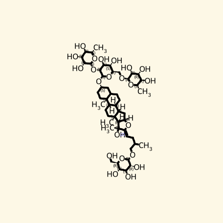 CC(C/C=C1\O[C@H]2C[C@H]3[C@@H]4CCC5C[C@@H](O[C@@H]6O[C@H](CO[C@@H]7O[C@@H](C)[C@H](O)[C@@H](O)[C@H]7O)[C@@H](O)[C@H](O)[C@H]6O[C@@H]6O[C@@H](C)[C@H](O)[C@@H](O)[C@H]6O)CC[C@]5(C)[C@H]4CC[C@]3(C)[C@H]2[C@@]1(C)O)CO[C@@H]1O[C@H](CO)[C@@H](O)[C@H](O)[C@H]1O